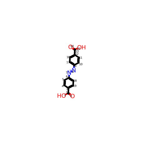 O=C(O)c1ccc(/N=N/c2ccc(C(=O)O)cc2)cc1